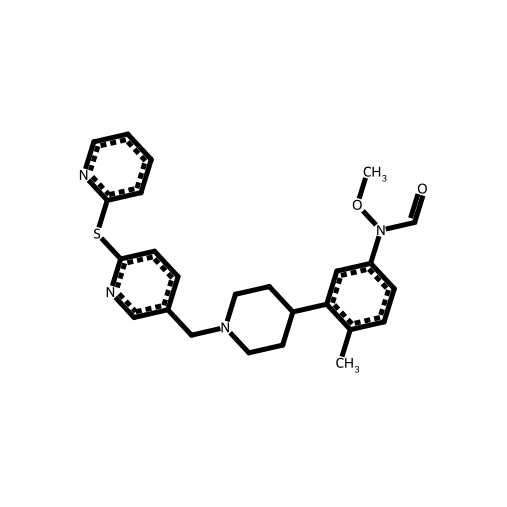 CON(C=O)c1ccc(C)c(C2CCN(Cc3ccc(Sc4ccccn4)nc3)CC2)c1